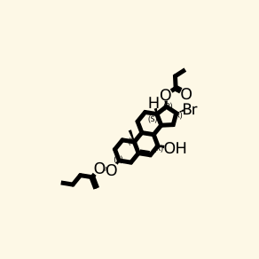 C=C(CCC)OO[C@H]1CC[C@@]2(C)C(=C[C@H](O)C3C4C[C@@H](Br)[C@H](OC(=O)CC)[C@H]4CCC32)C1